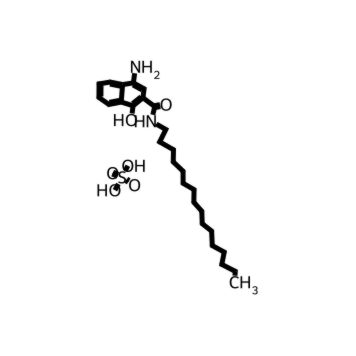 CCCCCCCCCCCCCCCCNC(=O)c1cc(N)c2ccccc2c1O.O=S(=O)(O)O